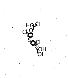 OCC(O)COc1ccc(Sc2ccc(OCC(O)CCl)c(Cl)c2)cc1Cl